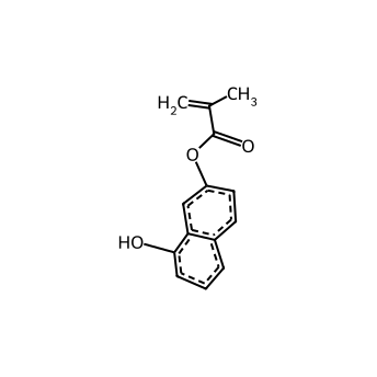 C=C(C)C(=O)Oc1ccc2cccc(O)c2c1